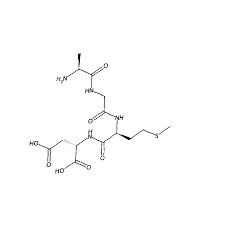 CSCC[C@H](NC(=O)CNC(=O)[C@H](C)N)C(=O)N[C@@H](CC(=O)O)C(=O)O